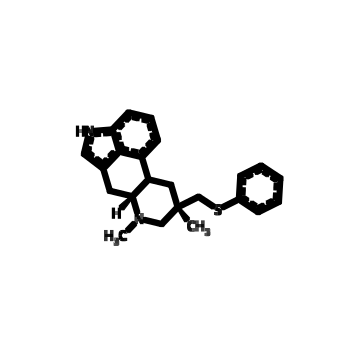 CN1C[C@@](C)(CSc2ccccc2)CC2c3cccc4[nH]cc(c34)C[C@H]21